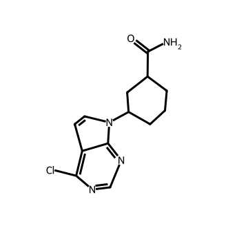 NC(=O)C1CCCC(n2ccc3c(Cl)ncnc32)C1